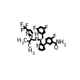 CC(C)C(CN[C@@H](Cc1cc(F)cc(F)c1)c1ncccc1-c1ccc(F)c(C(N)=O)c1)n1ccc(C(F)(F)F)n1